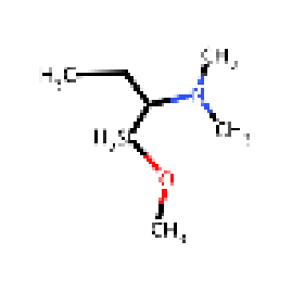 CCC([SiH2]OC)N(C)C